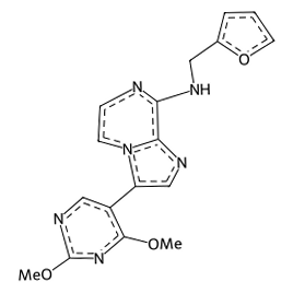 COc1ncc(-c2cnc3c(NCc4ccco4)nccn23)c(OC)n1